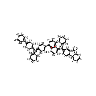 CC1(C)c2ccccc2-c2ccc(N(c3ccccc3)c3ccccc3-c3ccc(-c4ccc(N(C5=CC=C(c6ccccc6)CC5)c5ccccc5)cc4)cc3)cc21